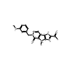 COc1cccc(Cn2ncc3c4sc(C(C)=O)nc4n(C)c3c2=O)c1